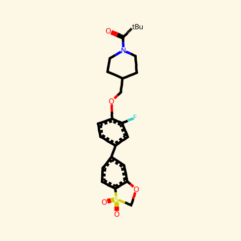 CC(C)(C)C(=O)N1CCC(COc2ccc(-c3ccc4c(c3)OCS4(=O)=O)cc2F)CC1